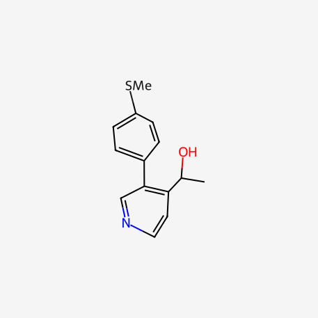 CSc1ccc(-c2cnccc2C(C)O)cc1